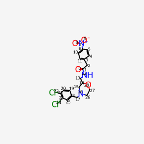 O=C(Cc1ccc([N+](=O)[O-])cc1)NCC1CN(Cc2ccc(Cl)c(Cl)c2)CCO1